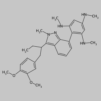 [CH2]CC(Cc1ccc(OC)c(OC)c1)c1c2cccc(-c3c(NC)cc(NC)cc3NC)c2nn1C